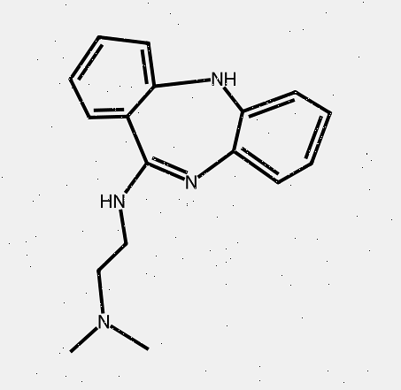 CN(C)CCNC1=Nc2ccccc2Nc2ccccc21